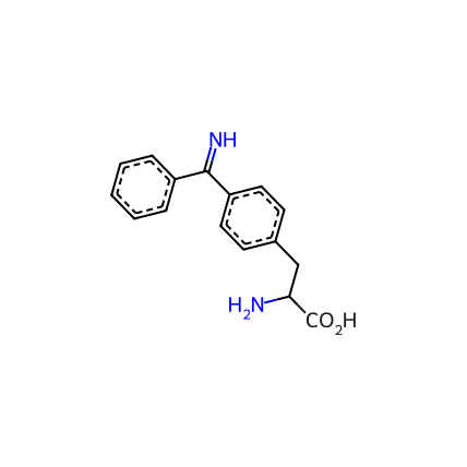 N=C(c1ccccc1)c1ccc(CC(N)C(=O)O)cc1